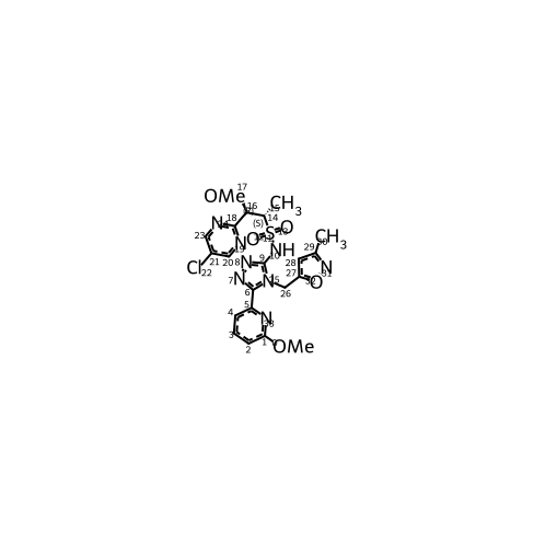 COc1cccc(-c2nnc(NS(=O)(=O)[C@@H](C)[C@H](OC)c3ncc(Cl)cn3)n2Cc2cc(C)no2)n1